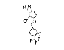 Nc1ccc(OCc2ccc(C(F)(F)F)c(F)c2)c(Cl)c1